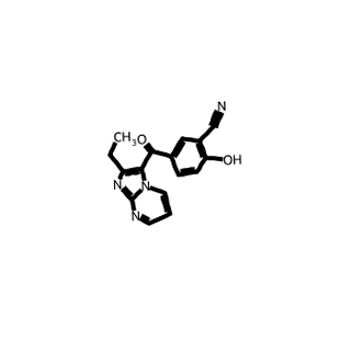 CCc1nc2ncccn2c1C(=O)c1ccc(O)c(C#N)c1